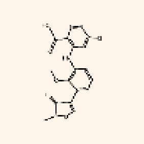 COc1c(Nc2cc(Cl)nnc2C(=O)O)cccc1-c1con(C)c1=O